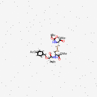 COC(=O)[C@H](CSSC[C@H](NC(=O)[C@H](CC(C)C)OCc1ccc(OC(C)=O)cc1)C(=O)OC)NC(=O)OC(C)(C)C